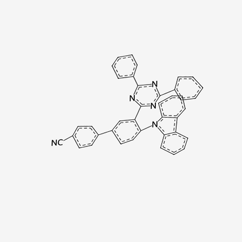 N#Cc1ccc(-c2ccc(-n3c4ccccc4c4ccccc43)c(-c3nc(-c4ccccc4)nc(-c4ccccc4)n3)c2)cc1